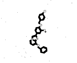 COc1cc(-c2cn3cccc(OCc4ccccc4)c3n2)ccc1OCc1ccc(Cl)cc1